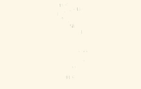 CCOC(=O)CC(=O)c1cc(F)c(CNC(=O)OC(C)(C)C)c(Cl)c1F